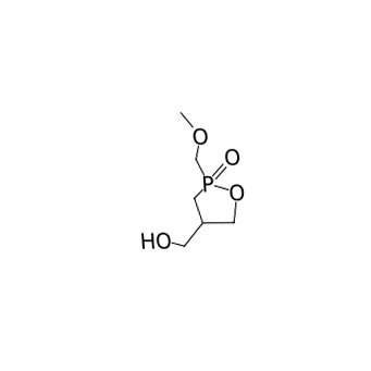 COCP1(=O)CC(CO)CO1